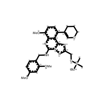 COc1ccc(CNc2nc3c(OC)ccc(C4=COCCC4)c3c3nc(CO[Si](C)(C)C(C)(C)C)nn23)c(OC)c1